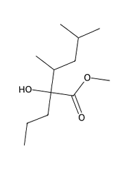 CCCC(O)(C(=O)OC)C(C)CC(C)C